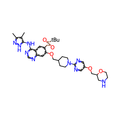 Cc1n[nH]c(Nc2ncnc3cc(OCC4CCN(c5ncc(OCC6CNCCO6)cn5)CC4)c(S(=O)(=O)C(C)(C)C)cc23)c1C